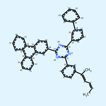 C/C=C\C=C(/C)c1cccc(-c2nc(-c3cccc(-c4ccccc4)c3)nc(-c3ccc4c5ccccc5c5ccccc5c4c3)n2)c1